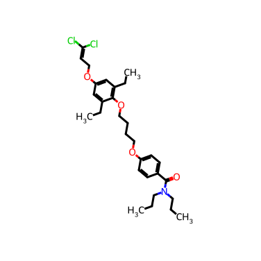 CCCN(CCC)C(=O)c1ccc(OCCCCOc2c(CC)cc(OCC=C(Cl)Cl)cc2CC)cc1